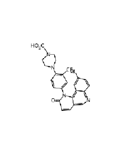 O=C(O)N1CCN(c2ccc(-n3c(=O)ccc4cnc5ccc(Br)cc5c43)cc2C(F)(F)F)CC1